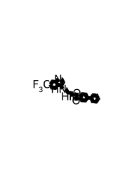 O=S(=O)(NCCCNc1ccnc2cc(C(F)(F)F)ccc12)c1ccc(-c2ccccc2)cc1